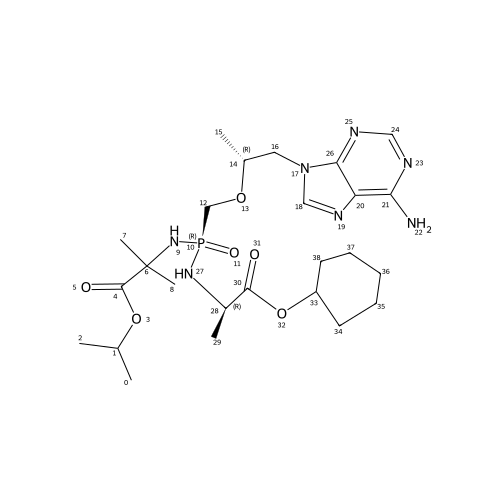 CC(C)OC(=O)C(C)(C)N[P@@](=O)(CO[C@H](C)Cn1cnc2c(N)ncnc21)N[C@H](C)C(=O)OC1CCCCC1